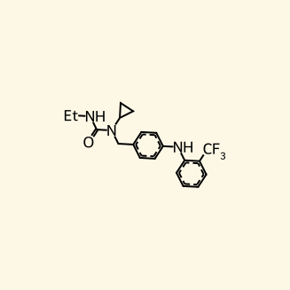 CCNC(=O)N(Cc1ccc(Nc2ccccc2C(F)(F)F)cc1)C1CC1